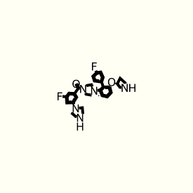 O=C(c1cc(F)cc(N2CCNCC2)c1)N1CCN(c2[c]ccc(O[C@H]3CCNC3)c2-c2ccc(F)cc2)CC1